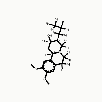 [2H]C1([2H])[C@H](C([2H])([2H])C([2H])(C)C([2H])([2H])[2H])[C@]([2H])(O)C[C@H]2c3cc(OC)c(OC)cc3C([2H])([2H])C([2H])([2H])N21